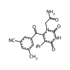 Cc1cc(C#N)cc(C(=O)c2c(C(C)C)c(=O)[nH]c(=O)n2CC(N)=O)c1